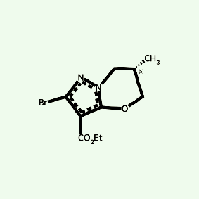 CCOC(=O)c1c(Br)nn2c1OC[C@@H](C)C2